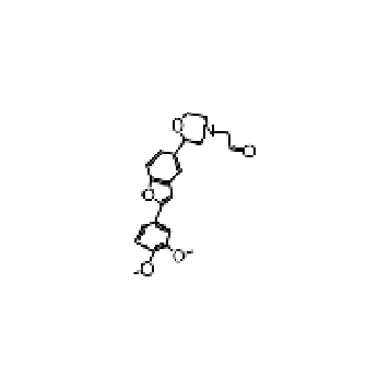 COc1ccc(-c2cc3cc(C4CN(CC=O)CCO4)ccc3o2)cc1OC